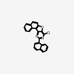 Clc1nc(-c2cccc3ccccc23)nc2c1oc1ccc3ccccc3c12